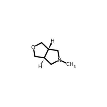 CN1C[C@H]2COC[C@@H]2C1